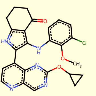 COc1c(Cl)cccc1Nc1c(-c2ccnc3cnc(OC4CC4)nc23)[nH]c2c1C(=O)CCC2